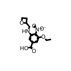 CCOc1cc(C(=O)O)cc(NCC2CCO2)c1[N+](=O)[O-]